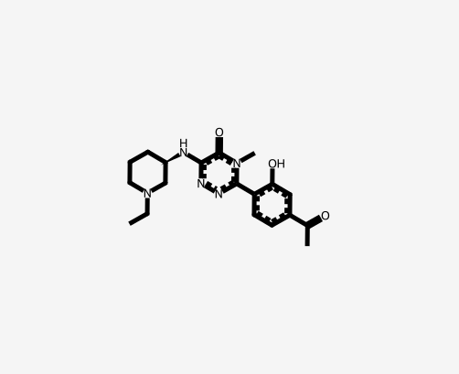 CCN1CCC[C@@H](Nc2nnc(-c3ccc(C(C)=O)cc3O)n(C)c2=O)C1